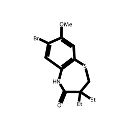 CCC1(CC)CSc2cc(OC)c(Br)cc2NC1=O